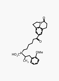 COc1ccccc1CC(C)N(CCCCCC(=O)c1cc2c3c(c1)CCN3C(=O)CC2)C(=O)O